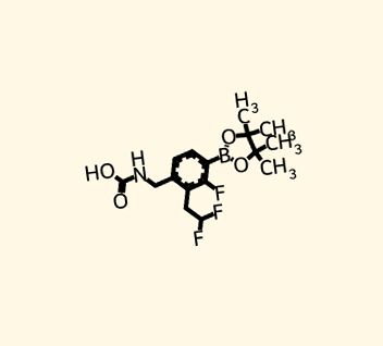 CC1(C)OB(c2ccc(CNC(=O)O)c(CC(F)F)c2F)OC1(C)C